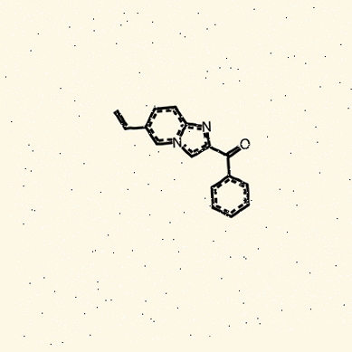 C=Cc1ccc2nc(C(=O)c3ccccc3)cn2c1